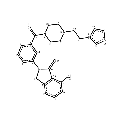 O=C(c1cccc(N2Cc3cccc(Cl)c3C2=O)c1)N1CCN(CCn2ccnc2)CC1